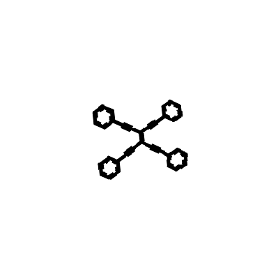 C(#Cc1ccccc1)C(C#Cc1ccccc1)=C(C#Cc1ccccc1)C#Cc1ccccc1